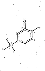 Cn1nc[c]([Sn]([CH3])([CH3])[CH3])cc1=O